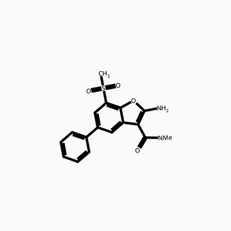 CNC(=O)c1c(N)oc2c(S(C)(=O)=O)cc(-c3ccccc3)cc12